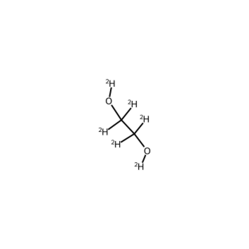 [2H]OC([2H])([2H])C([2H])([2H])O[2H]